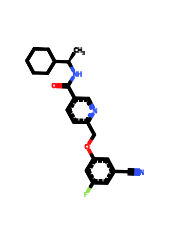 C[C@@H](NC(=O)c1ccc(COc2cc(F)cc(C#N)c2)nc1)C1CCCCC1